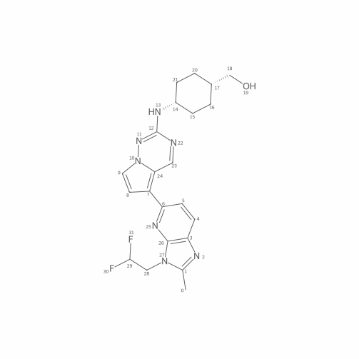 Cc1nc2ccc(-c3ccn4nc(N[C@H]5CC[C@@H](CO)CC5)ncc34)nc2n1CC(F)F